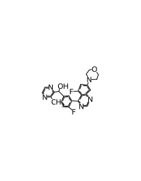 Cc1nccnc1[C@@H](O)c1ccc(F)c(-c2ncnc3cc(N4CCOCC4)cc(F)c23)c1